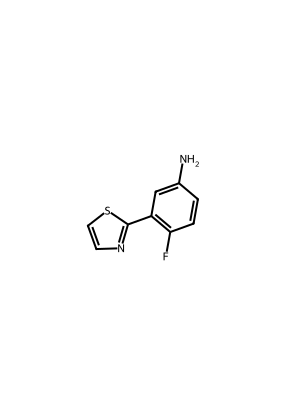 Nc1ccc(F)c(-c2nccs2)c1